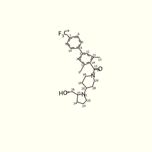 Cc1cc(-c2ccc(C(F)(F)F)cc2)cc(C)c1C(=O)N1CCC(N2CCCC2CO)CC1